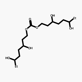 CCC(O)CCC(O)CCOC(=O)OCCC(O)CCC(O)CC